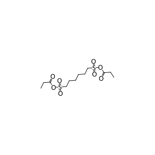 CCC(=O)OS(=O)(=O)CCCCCCS(=O)(=O)OC(=O)CC